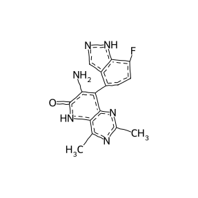 Cc1nc(C)c2[nH]c(=O)c(N)c(-c3ccc(F)c4[nH]ncc34)c2n1